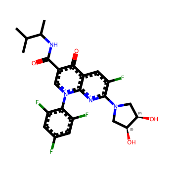 CC(C)C(C)NC(=O)c1cn(-c2c(F)cc(F)cc2F)c2nc(N3C[C@@H](O)[C@@H](O)C3)c(F)cc2c1=O